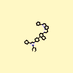 C/C=C\C(=C/C)c1nc(-c2ccccc2)cc(-c2ccc(-c3ccc(-c4ccc5ccc6ccc(-c7ccccc7)nc6c5n4)c4ccccc34)cc2)n1